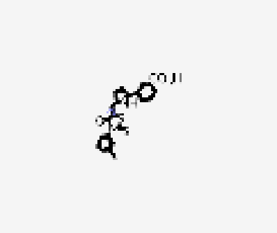 Cc1cccc(N2C(=O)/C(=C/c3ccc(-c4cccc(C(=O)O)c4)[nH]3)SC2=S)c1